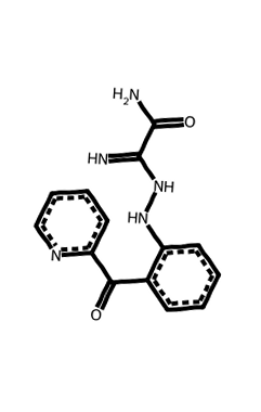 N=C(NNc1ccccc1C(=O)c1ccccn1)C(N)=O